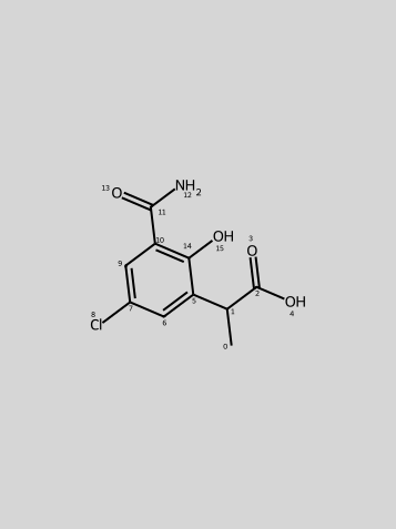 CC(C(=O)O)c1cc(Cl)cc(C(N)=O)c1O